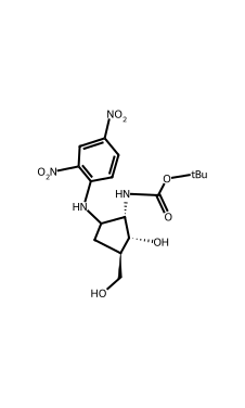 CC(C)(C)OC(=O)N[C@H]1C(Nc2ccc([N+](=O)[O-])cc2[N+](=O)[O-])C[C@H](CO)[C@H]1O